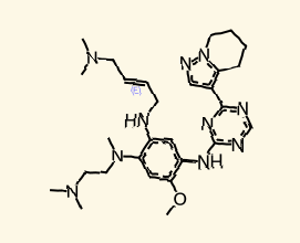 COc1cc(N(C)CCN(C)C)c(NC/C=C/CN(C)C)cc1Nc1ncnc(-c2cnn3c2CCCC3)n1